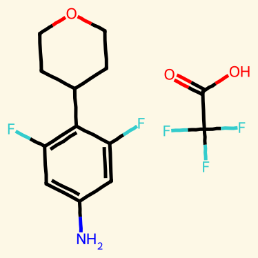 Nc1cc(F)c(C2CCOCC2)c(F)c1.O=C(O)C(F)(F)F